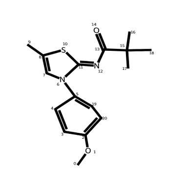 COc1ccc(-n2cc(C)sc2=NC(=O)C(C)(C)C)cc1